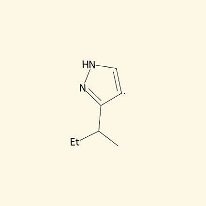 CCC(C)c1[c]c[nH]n1